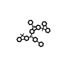 CC1(C)c2ccccc2-c2ccc(N(c3ccc(-c4ccccc4)cc3)c3ccc4c(c3)c3cc(C5(C)c6ccccc6-c6ccccc65)ccc3n4-c3ccccc3)cc21